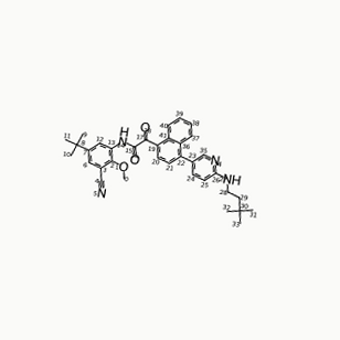 COc1c(C#N)cc(C(C)(C)C)cc1NC(=O)C(=O)c1ccc(-c2ccc(NCCC(C)(C)C)nc2)c2ccccc12